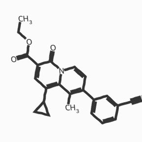 CCOC(=O)c1cc(C2CC2)c2c(C)c(-c3cccc(C#N)c3)ccn2c1=O